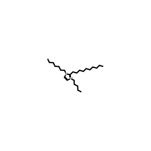 CCCCCCCCCCc1n(CCCCCCC)cc[n+]1CCCCC